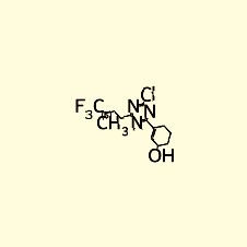 C[C@@H](CCc1nc(Cl)nc(C2=CC(O)CCC2)n1)C(F)(F)F